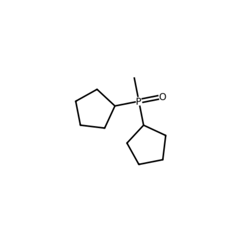 CP(=O)(C1CCCC1)C1CCCC1